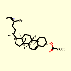 C/C=C(\CC[C@@H](C)[C@H]1CC[C@H]2[C@@H]3CC=C4C[C@@H](OC(=O)CCCCCCCC)CC[C@]4(C)[C@H]3CC[C@]12C)C(C)C